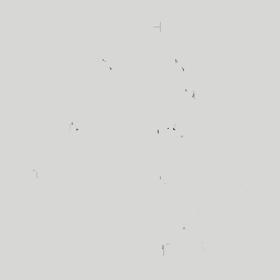 Cc1c(CNc2nnc(C)c3ncc(N4CCOCC4)cc23)cccc1C(F)(F)F